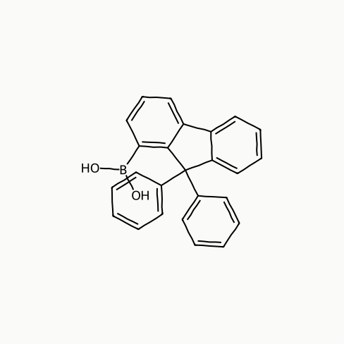 OB(O)c1cccc2c1C(c1ccccc1)(c1ccccc1)c1ccccc1-2